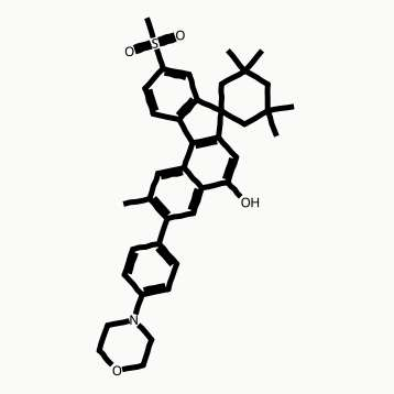 Cc1cc2c3c(cc(O)c2cc1-c1ccc(N2CCOCC2)cc1)C1(CC(C)(C)CC(C)(C)C1)c1cc(S(C)(=O)=O)ccc1-3